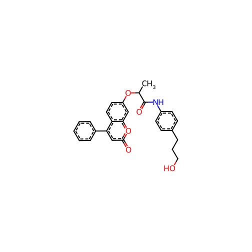 CC(Oc1ccc2c(-c3ccccc3)cc(=O)oc2c1)C(=O)Nc1ccc(CCCO)cc1